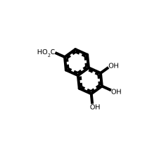 O=C(O)c1ccc2c(O)c(O)c(O)cc2c1